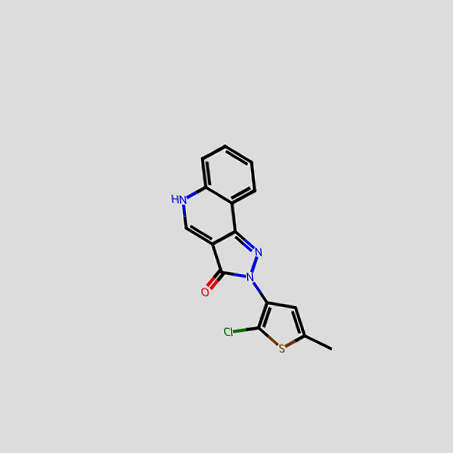 Cc1cc(-n2nc3c4ccccc4[nH]cc-3c2=O)c(Cl)s1